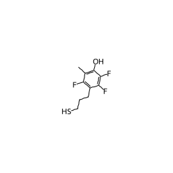 Cc1c(O)c(F)c(F)c(CCCS)c1F